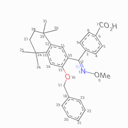 CO/N=C(\c1ccc(C(=O)O)cc1)c1cc2c(cc1OCc1ccccc1)C(C)(C)CCC2(C)C